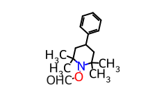 CC1(C)CC(c2ccccc2)CC(C)(C)N1OC=O